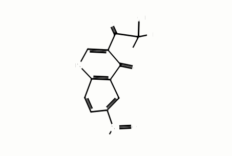 CC(C)(C)C(=O)c1c[nH]c2ccc([N+](=O)[O-])cc2c1=O